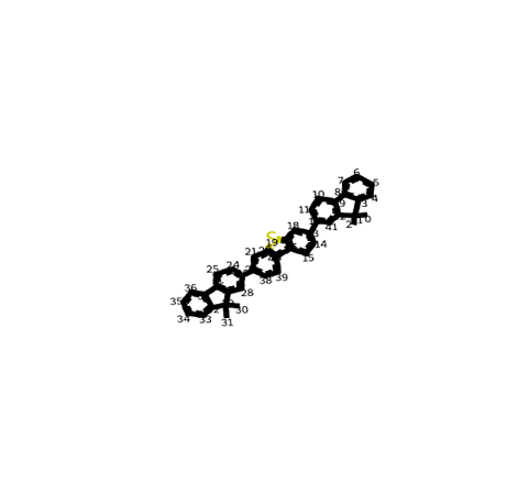 CC1(C)c2ccccc2-c2ccc(-c3ccc4c(c3)sc3cc(-c5ccc6c(c5)C(C)(C)c5ccccc5-6)ccc34)cc21